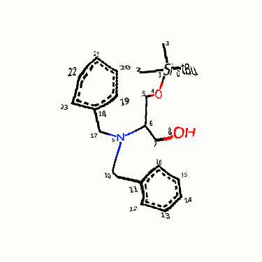 CC(C)(C)[Si](C)(C)OCC(CO)N(Cc1ccccc1)Cc1ccccc1